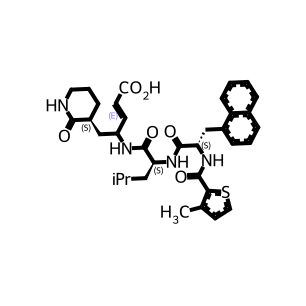 Cc1ccsc1C(=O)N[C@@H](Cc1cccc2ccccc12)C(=O)N[C@@H](CC(C)C)C(=O)NC(/C=C/C(=O)O)C[C@@H]1CCCNC1=O